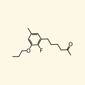 CCCOc1cc(C)cc(CCCCC(C)=O)c1F